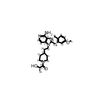 COc1ccc(I)c(Sc2nc3c(N)nccc3n2CCC2CCN(C(=O)[C@@H](C)O)CC2)c1